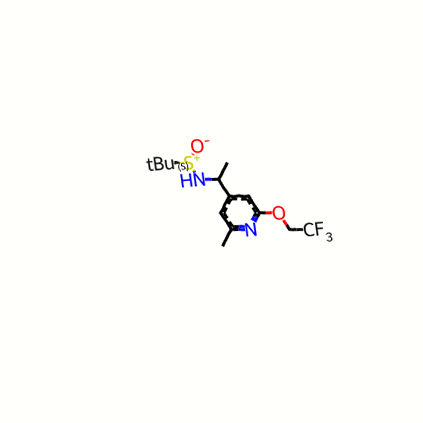 Cc1cc(C(C)N[S@+]([O-])C(C)(C)C)cc(OCC(F)(F)F)n1